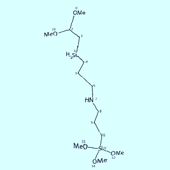 COC(C[SiH2]CCCNCCC[Si](OC)(OC)OC)OC